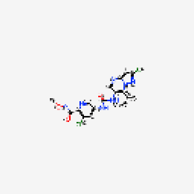 CCONC(=O)c1ncc(NC(=O)Nc2cnc3cc(Cl)nn3c2[C@H](C)OC)cc1Cl